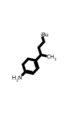 CCC(C)CCC(C)C1=CC=C(N)CC1